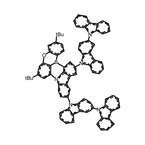 CC(C)(C)c1ccc2c(c1)Oc1cc(C(C)(C)C)cc3c1B2c1cc(-n2c4ccccc4c4cc(-n5c6ccccc6c6ccccc65)ccc42)cc2c4cc(-n5c6ccccc6c6cc(-n7c8ccccc8c8ccccc87)ccc65)ccc4n-3c12